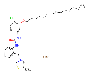 Br.CCCCCCCCCCCCCCOc1cc(NC(=O)Nc2ccccc2CN2C=C(C)SC2)ccc1Cl